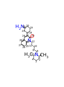 CC1CCCC(C)N1CCCCCn1c(=O)c(C2CCCC(N)C2)cc2ccccc21